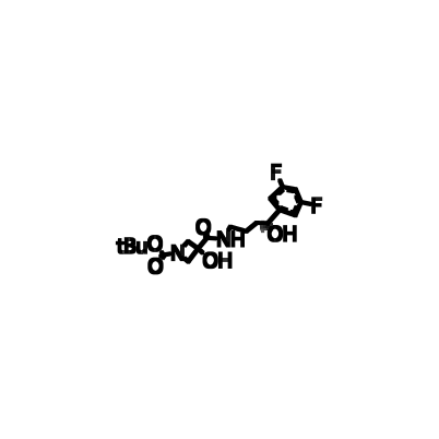 CC(C)(C)OC(=O)N1CC(O)(C(=O)NCCC[C@@H](O)c2cc(F)cc(F)c2)C1